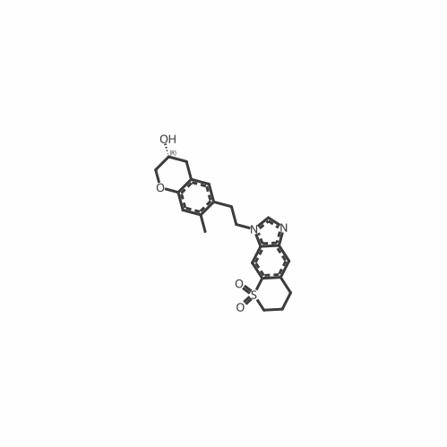 Cc1cc2c(cc1CCn1cnc3cc4c(cc31)S(=O)(=O)CCC4)C[C@@H](O)CO2